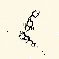 FC(F)(F)Cc1cc2c(N3C[C@H]4CCN(CC5CCOCC5)C[C@H]4C3)ncnc2s1